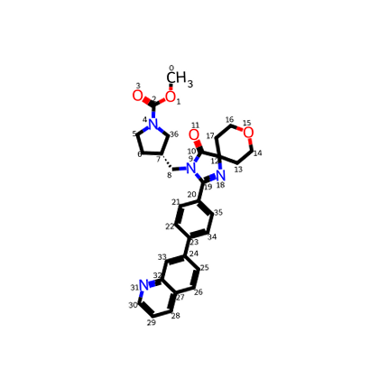 COC(=O)N1CC[C@@H](CN2C(=O)C3(CCOCC3)N=C2c2ccc(-c3ccc4cccnc4c3)cc2)C1